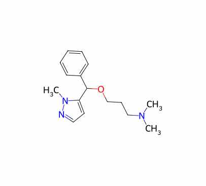 CN(C)CCCOC(c1ccccc1)c1ccnn1C